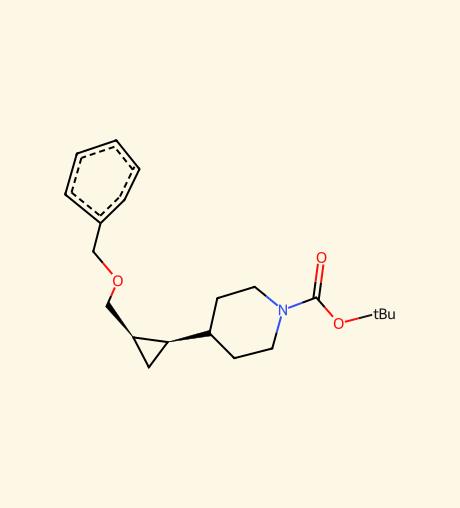 CC(C)(C)OC(=O)N1CCC([C@H]2C[C@H]2COCc2ccccc2)CC1